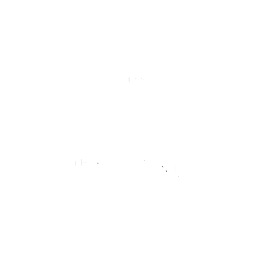 CCCCCCCCCCC(CCCCCC)C(C)(C)N